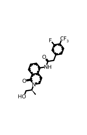 C[C@@H](CO)n1ccc2c(NC(=O)Cc3ccc(C(F)(F)F)c(F)c3)cccc2c1=O